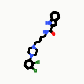 O=C(NCC=CCN1CCN(c2cccc(Cl)c2Cl)CC1)c1cc2ccccc2[nH]1